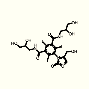 O=C(NCC(O)CO)c1c(I)c(C(=O)NCC(O)CO)c(I)c(-n2c(CO)coc2=O)c1I